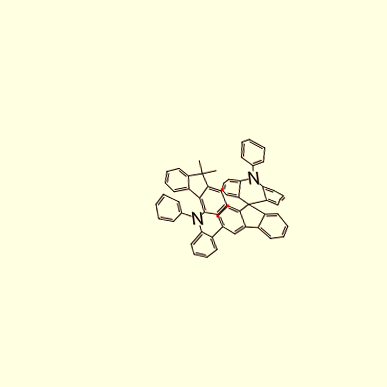 CC1(C)c2ccccc2-c2c(N(c3ccccc3)c3ccccc3-c3ccc4c(c3)-c3ccccc3C43c4ccccc4N(c4ccccc4)c4ccccc43)cccc21